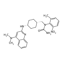 Cc1cccc([N+](=O)[O-])c1N(C[C@H]1CC[C@@H](Nc2cc(N(C)C)c3ccccc3n2)CC1)C(N)=O